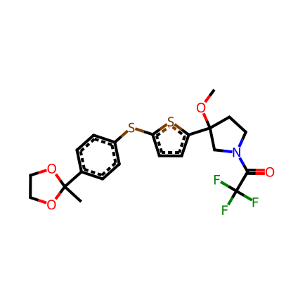 COC1(c2ccc(Sc3ccc(C4(C)OCCO4)cc3)s2)CCN(C(=O)C(F)(F)F)C1